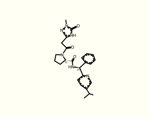 CC(C)c1ccc([C@@H](NC(=O)[C@@H]2CCCN2C(=O)Cc2nn(C)c(=O)[nH]2)c2ccccc2)nc1